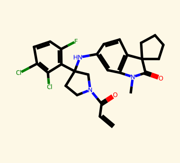 C=CC(=O)N1CCC(Nc2ccc3c(c2)N(C)C(=O)C32CCCC2)(c2c(F)ccc(Cl)c2Cl)C1